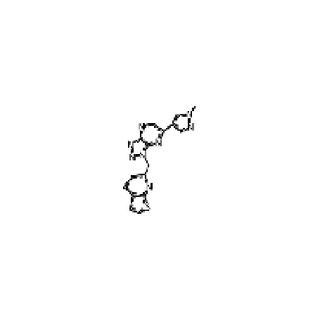 Cn1cc(-c2cnc3nnn(Cc4ccc5ccsc5n4)c3n2)cn1